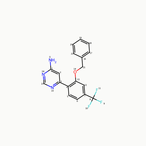 Nc1cc(-c2ccc(C(F)(F)F)cc2OCc2ccccc2)ncn1